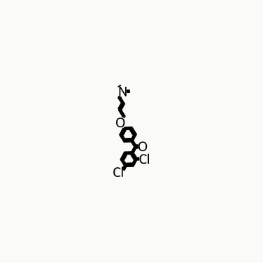 CN(C)CC=CCOc1ccc(C(=O)c2ccc(Cl)cc2Cl)cc1